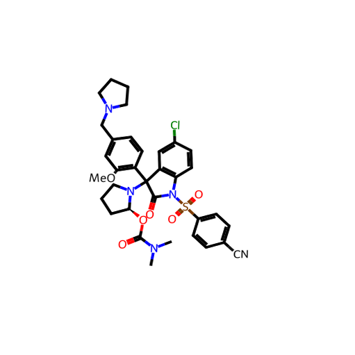 COc1cc(CN2CCCC2)ccc1C1(N2CCC[C@@H]2OC(=O)N(C)C)C(=O)N(S(=O)(=O)c2ccc(C#N)cc2)c2ccc(Cl)cc21